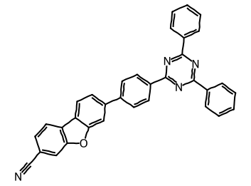 N#Cc1ccc2c(c1)oc1cc(-c3ccc(-c4nc(-c5ccccc5)nc(-c5ccccc5)n4)cc3)ccc12